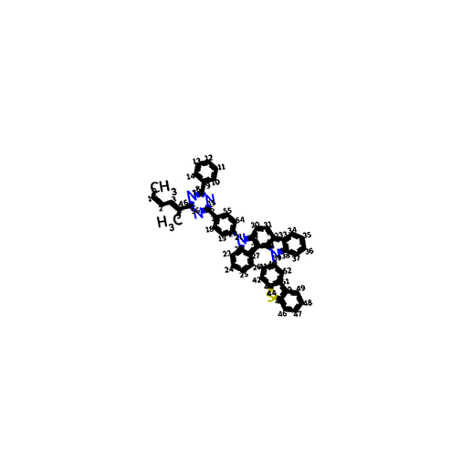 C/C=C\C=C(/C)c1nc(-c2ccccc2)nc(-c2ccc(-n3c4ccccc4c4c3ccc3c5ccccc5n(-c5ccc6sc7ccccc7c6c5)c34)cc2)n1